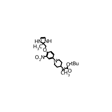 CN(C(=O)OC(C)(C)C)C1CCN(c2ccc(OCC3(C)NC=CN3)c([N+](=O)[O-])c2)CC1